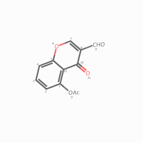 CC(=O)Oc1cccc2occ(C=O)c(=O)c12